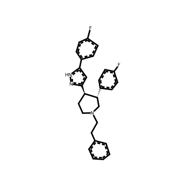 Fc1ccc(-c2cc([C@@H]3CCN(CCc4ccccc4)C[C@H]3c3ccc(F)cc3)n[nH]2)cc1